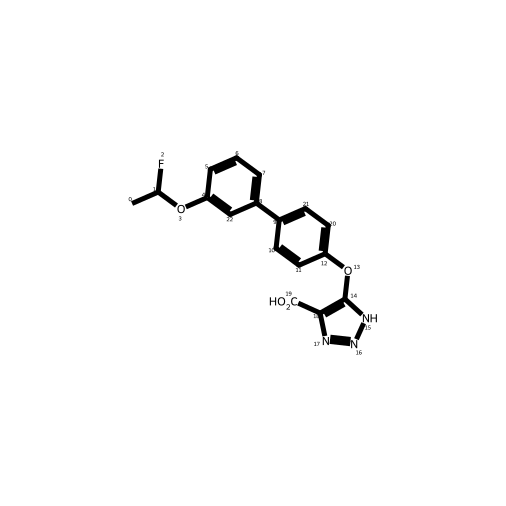 CC(F)Oc1cccc(-c2ccc(Oc3[nH]nnc3C(=O)O)cc2)c1